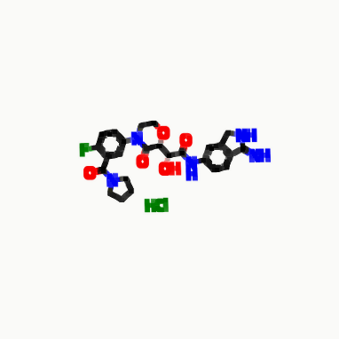 Cl.N=C1NCc2cc(NC(=O)[C@H](O)[C@H]3OCCN(c4ccc(F)c(C(=O)N5CCCC5)c4)C3=O)ccc21